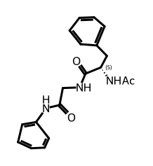 CC(=O)N[C@@H](Cc1ccccc1)C(=O)NCC(=O)Nc1ccccc1